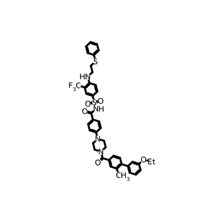 CCOc1cccc(-c2ccc(C(=O)N3CCN(c4ccc(C(=O)NS(=O)(=O)c5ccc(NCCSc6ccccc6)c(C(F)(F)F)c5)cc4)CC3)cc2C)c1